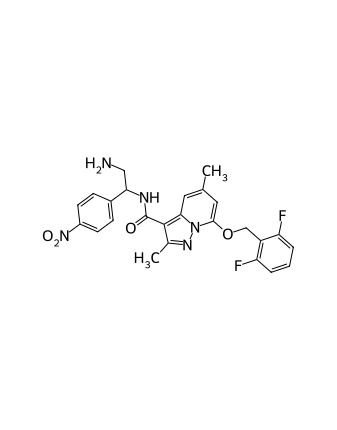 Cc1cc(OCc2c(F)cccc2F)n2nc(C)c(C(=O)NC(CN)c3ccc([N+](=O)[O-])cc3)c2c1